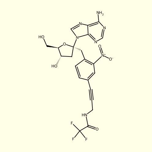 Nc1ncnc2c1ncn2[C@@]1(Cc2ccc(C#CCNC(=O)C(F)(F)F)cc2[N+](=O)[O-])C[C@H](O)[C@@H](CO)O1